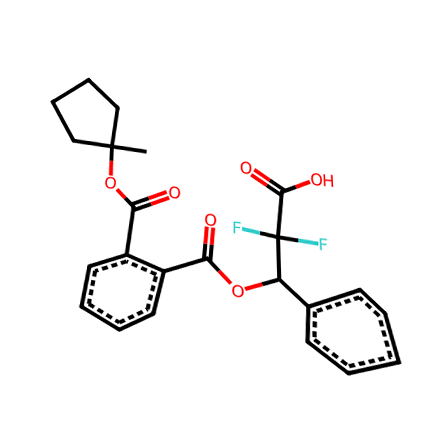 CC1(OC(=O)c2ccccc2C(=O)OC(c2ccccc2)C(F)(F)C(=O)O)CCCC1